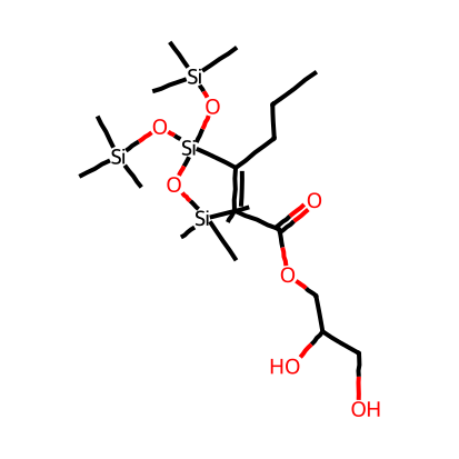 CCCC(=C(C)C(=O)OCC(O)CO)[Si](O[Si](C)(C)C)(O[Si](C)(C)C)O[Si](C)(C)C